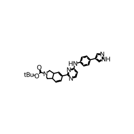 CC(C)(C)OC(=O)N1CC2C=CC(c3nccc(Nc4ccc(-c5cn[nH]c5)cc4)n3)=CC2C1